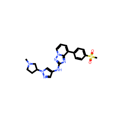 CN1CCC(n2cc(Nc3nc4c(-c5ccc(S(C)(=O)=O)cc5)cccn4n3)cn2)C1